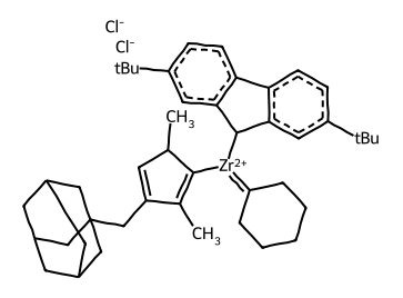 CC1=[C]([Zr+2](=[C]2CCCCC2)[CH]2c3cc(C(C)(C)C)ccc3-c3ccc(C(C)(C)C)cc32)C(C)C=C1CC12CC3CC(CC(C3)C1)C2.[Cl-].[Cl-]